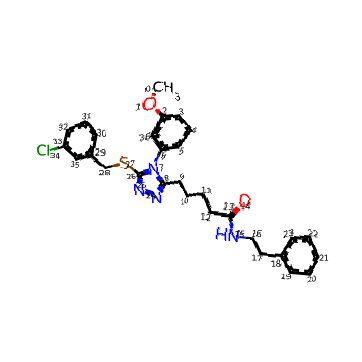 COc1cccc(-n2c(CCCCC(=O)NCCc3ccccc3)nnc2SCc2cccc(Cl)c2)c1